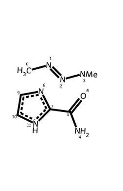 CN=NNC.NC(=O)c1ncc[nH]1